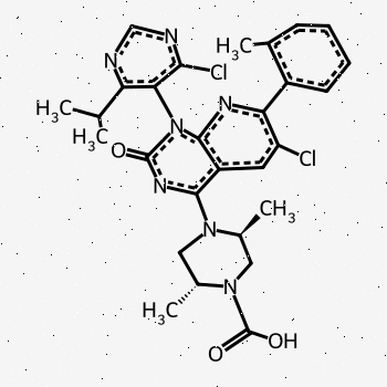 Cc1ccccc1-c1nc2c(cc1Cl)c(N1C[C@@H](C)N(C(=O)O)C[C@@H]1C)nc(=O)n2-c1c(Cl)ncnc1C(C)C